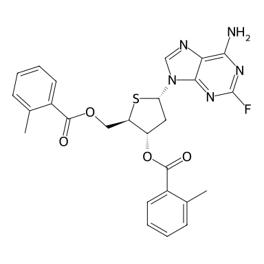 Cc1ccccc1C(=O)OC[C@H]1S[C@H](n2cnc3c(N)nc(F)nc32)C[C@@H]1OC(=O)c1ccccc1C